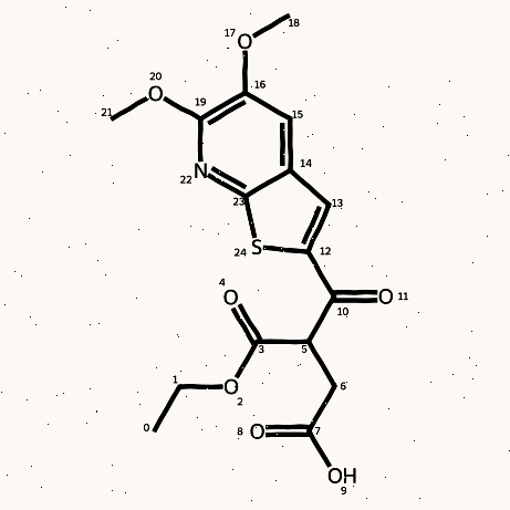 CCOC(=O)C(CC(=O)O)C(=O)c1cc2cc(OC)c(OC)nc2s1